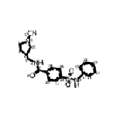 N#CN1CCC(CNC(=O)c2ccc(S(=O)(=O)Nc3ccccc3)cc2)C1